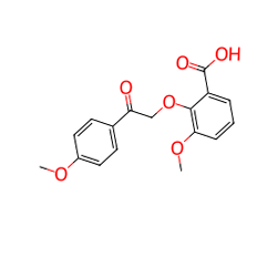 COc1ccc(C(=O)COc2c(OC)cccc2C(=O)O)cc1